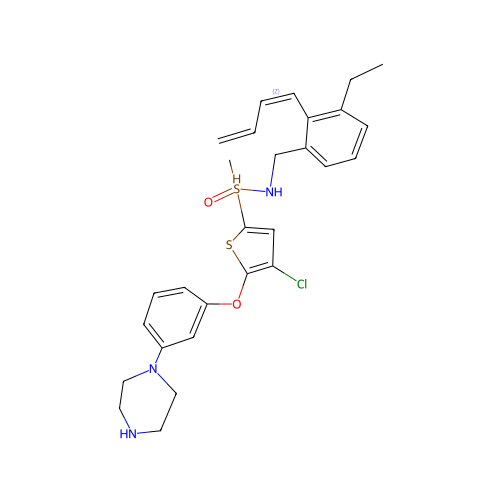 C=C/C=C\c1c(CC)cccc1CN[SH](C)(=O)c1cc(Cl)c(Oc2cccc(N3CCNCC3)c2)s1